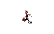 C[C@H]1CCCN(Cc2cc3c(c(C(F)(F)F)c2)CN(c2cc(C4(Cc5nncn5C)COC4)cc(SCCO)n2)C3=O)C1